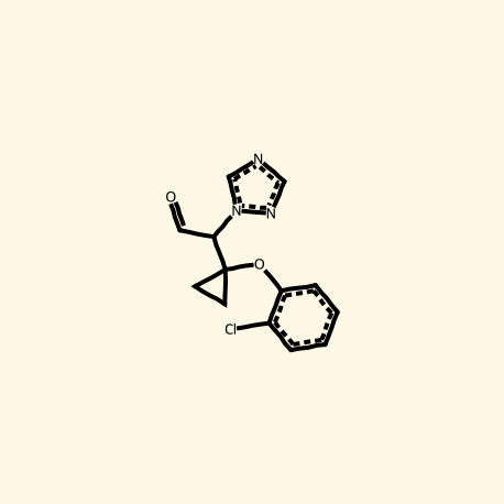 O=CC(n1cncn1)C1(Oc2ccccc2Cl)CC1